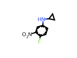 O=[N+]([O-])c1cc(NC2CC2)ccc1F